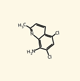 Cc1ccc2c(Cl)cc(Cl)c(N)c2n1